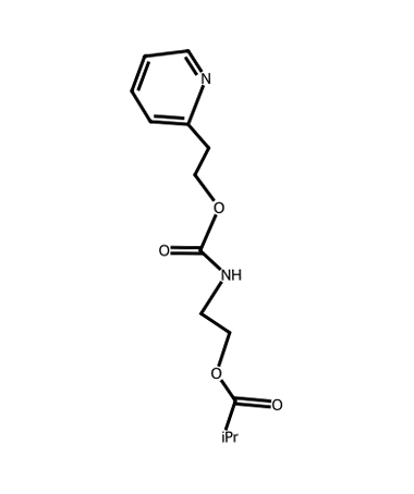 CC(C)C(=O)OCCNC(=O)OCCc1ccccn1